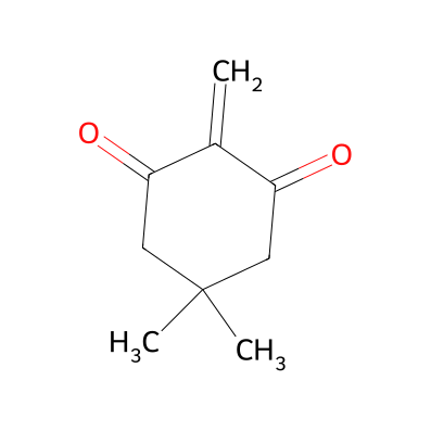 C=C1C(=O)CC(C)(C)CC1=O